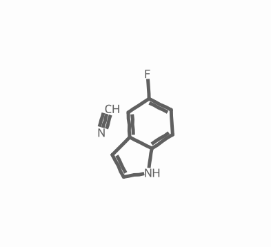 C#N.Fc1ccc2[nH]ccc2c1